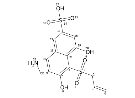 C=CCS(=O)(=O)c1c(O)ccc2cc(S(=O)(=O)O)cc(O)c12.CN